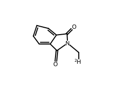 [2H]CN1C(=O)c2ccccc2C1=O